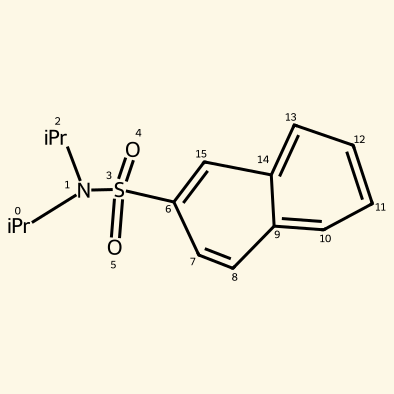 CC(C)N(C(C)C)S(=O)(=O)c1ccc2ccccc2c1